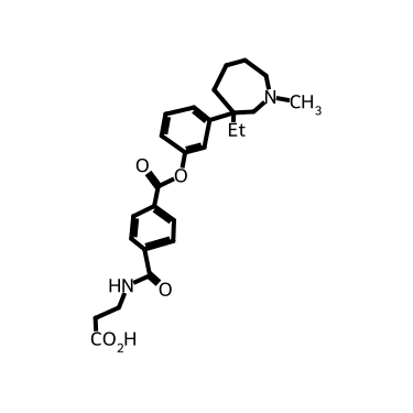 CCC1(c2cccc(OC(=O)c3ccc(C(=O)NCCC(=O)O)cc3)c2)CCCCN(C)C1